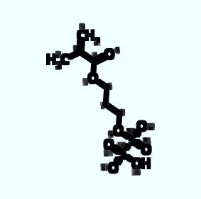 C=C(C)C(=O)OCCCOS(=O)(=O)S(=O)(=O)O